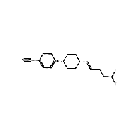 N#Cc1ccc([C@H]2CC[C@H](C=CCCC(F)F)CC2)cc1